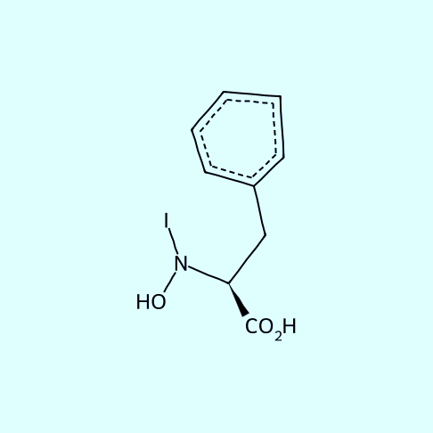 O=C(O)[C@H](Cc1ccccc1)N(O)I